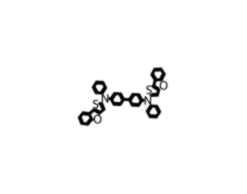 c1ccc(N(c2ccc(-c3ccc(N(c4ccccc4)c4cc5oc6ccccc6c5s4)cc3)cc2)c2cc3oc4ccccc4c3s2)cc1